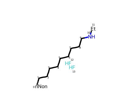 CCCCCCCCCCCCCCCCCCNCC.F.F